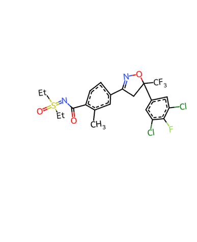 CCS(=O)(CC)=NC(=O)c1ccc(C2=NOC(c3cc(Cl)c(F)c(Cl)c3)(C(F)(F)F)C2)cc1C